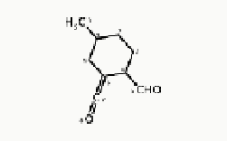 CC1CCC(C=O)C(=C=O)C1